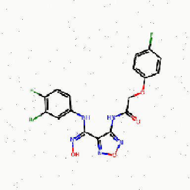 O=C(COc1ccc(F)cc1)Nc1nonc1/C(=N\O)Nc1ccc(F)c(Br)c1